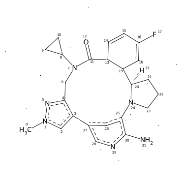 Cn1cc2c(n1)CN(C1CC1)C(=O)C1C=CC(F)=CC1[C@H]1CCCN1c1cc-2cnc1N